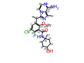 Cc1nc(C(C)c2cc(Cl)c(F)c(C(=O)NC3(C)CCC(O)CC3)c2OC(C)C)n2ccnc(N)c12